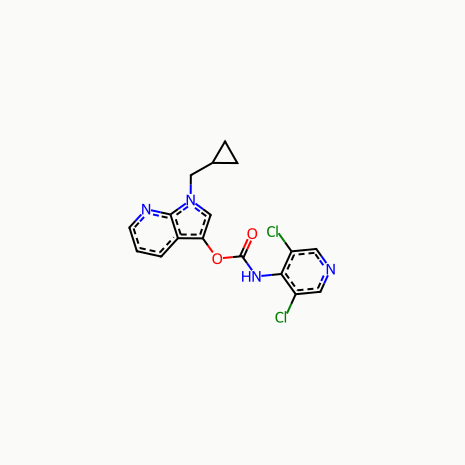 O=C(Nc1c(Cl)cncc1Cl)Oc1cn(CC2CC2)c2ncccc12